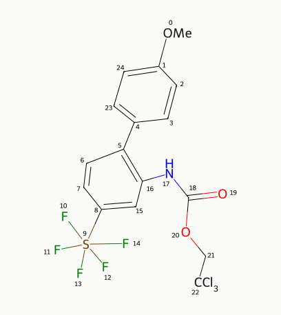 COc1ccc(-c2ccc(S(F)(F)(F)(F)F)cc2NC(=O)OCC(Cl)(Cl)Cl)cc1